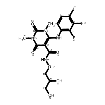 Cn1c(Nc2ccc(I)c(F)c2F)c(C(=O)NOCC(O)CO)c(=O)n(C)c1=O